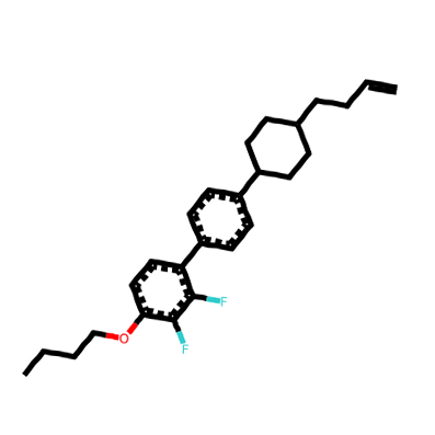 C=CCCC1CCC(c2ccc(-c3ccc(OCCCC)c(F)c3F)cc2)CC1